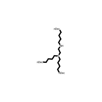 CCCCCCCCCCCCCCNCCN(CCCCCCCCCCCCCC)CCCCCCCCCCCCCC